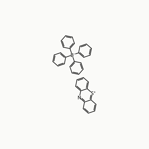 c1ccc([B-](c2ccccc2)(c2ccccc2)c2ccccc2)cc1.c1ccc2[s+]c3ccccc3nc2c1